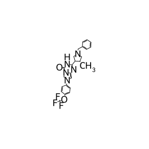 CC1CN(Cc2ccccc2)CC1C1=NC2=CN(c3ccc(OC(F)(F)F)cc3)CN2C(=O)N1